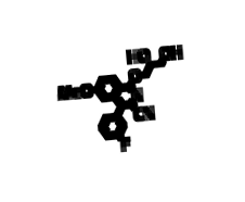 COc1ccc2c(OC[C@H](O)CO)nc(C#N)c(-c3cccc(F)c3)c2c1